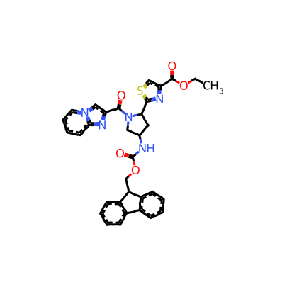 CCOC(=O)c1csc(C2CC(NC(=O)OCC3c4ccccc4-c4ccccc43)CN2C(=O)c2cn3ccccc3n2)n1